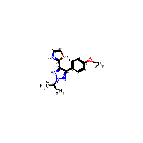 COc1ccc(-c2nn(C(C)C)nc2-c2nccs2)cc1